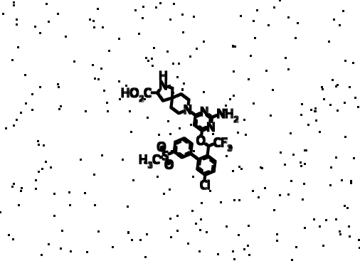 CS(=O)(=O)c1cccc(-c2cc(Cl)ccc2C(Oc2cc(N3CCC4(CC3)CNC(C(=O)O)C4)nc(N)n2)C(F)(F)F)c1